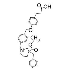 CCOC(=O)C1(Cc2ccccc2)CCCN(Cc2ccc(COc3ccc(CCC(=O)O)cc3)cc2)C1